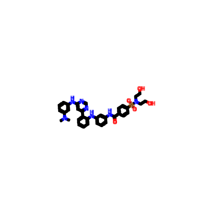 CN(C)c1cccc(Nc2cc(-c3ccccc3Nc3cccc(NC(=O)c4ccc(S(=O)(=O)N(CCO)CCO)cc4)c3)ncn2)c1